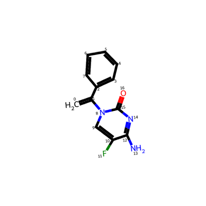 C=C(c1ccccc1)n1cc(F)c(N)nc1=O